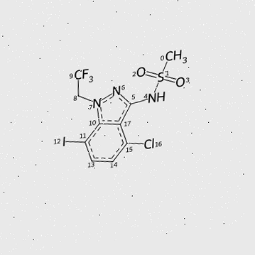 CS(=O)(=O)Nc1nn(CC(F)(F)F)c2c(I)ccc(Cl)c12